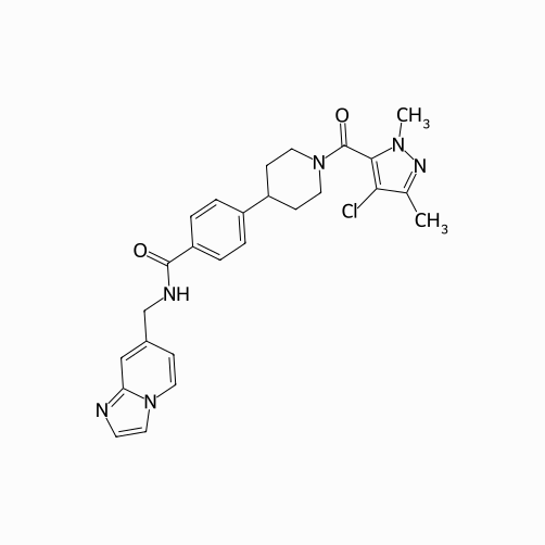 Cc1nn(C)c(C(=O)N2CCC(c3ccc(C(=O)NCc4ccn5ccnc5c4)cc3)CC2)c1Cl